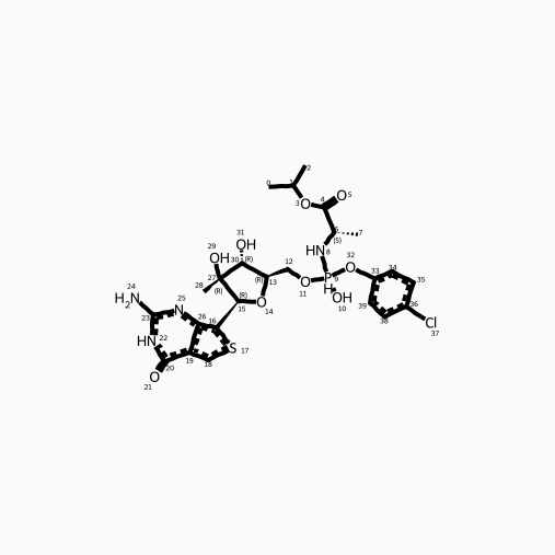 CC(C)OC(=O)[C@H](C)N[PH](O)(OC[C@H]1O[C@@H](c2scc3c(=O)[nH]c(N)nc23)[C@](C)(O)[C@@H]1O)Oc1ccc(Cl)cc1